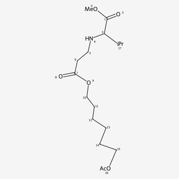 COC(=O)C(NCCC(=O)OCCCCCCOC(C)=O)C(C)C